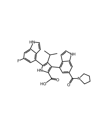 CC(C)c1c(-c2cc(F)cc3[nH]ccc23)[nH]c(C(=O)O)c1-c1cc(C(=O)N2CCCC2)cc2[nH]ccc12